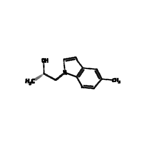 Cc1ccc2c(ccn2C[C@H](C)O)c1